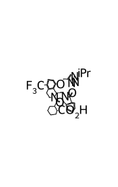 CC(C)n1cc(COc2ccc(C(F)(F)F)c3c2[C@@H](CN2Cc4ccccc4C2=O)N(C(=O)C2CCCC[C@H]2C(=O)O)CC3)nn1